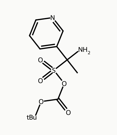 CC(C)(C)OC(=O)OS(=O)(=O)C(C)(N)c1cccnc1